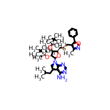 Cc1noc(-c2ccccc2)c1CSC[C@H]1O[C@@H](n2cc(CC(C)C)c3c(N)ncnc32)[C@H](O[Si](C)(C)C(C)(C)C)[C@@H]1O[Si](C)(C)C(C)(C)C